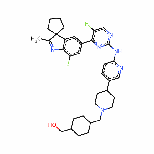 CC1=Nc2c(F)cc(-c3nc(Nc4ccc(C5CCN(CC6CCC(CO)CC6)CC5)cn4)ncc3F)cc2C12CCCC2